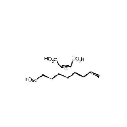 C=CCCCCCCCCCCCCCCCC.O=C(O)/C=C\C(=O)O